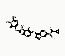 CCn1c(C(C)(C)C)ncc(Nc2nc3ncc(Oc4cnn5cc(N(C)C(=O)C6CC6)ncc45)c(Cl)c3n2C)c1=O